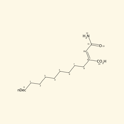 CCCCCCCCCCCCCCCCCCC(=CC(N)=O)C(=O)O